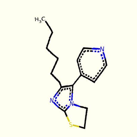 CCCCCc1nc2n(c1-c1ccncc1)CCS2